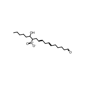 CCCCCC(O)C(CC=CCC=CCCCC[C]=O)[N+](=O)[O-]